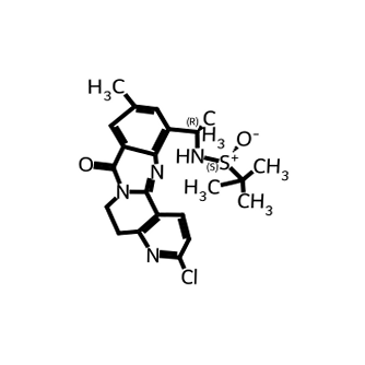 Cc1cc([C@@H](C)N[S@+]([O-])C(C)(C)C)c2nc3n(c(=O)c2c1)CCc1nc(Cl)ccc1-3